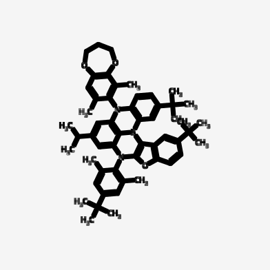 Cc1cc(C(C)(C)C)cc(C)c1N1c2cc(C(C)C)cc3c2B(c2cc(C(C)(C)C)ccc2N3c2c(C)cc3c(c2C)OCCCO3)c2c1oc1ccc(C(C)(C)C)cc21